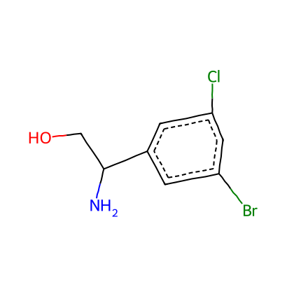 NC(CO)c1cc(Cl)cc(Br)c1